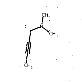 CC#CCN(C)C